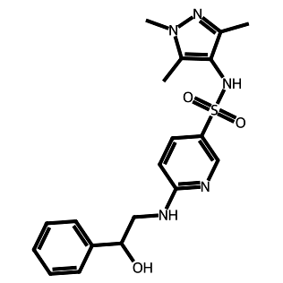 Cc1nn(C)c(C)c1NS(=O)(=O)c1ccc(NCC(O)c2ccccc2)nc1